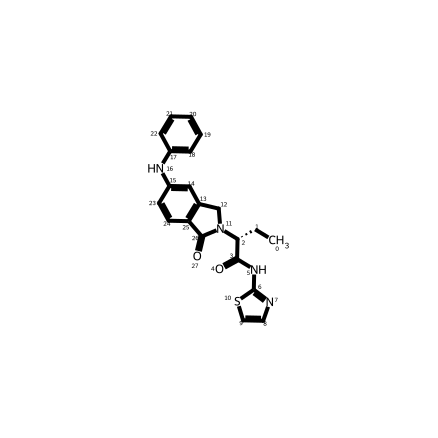 CC[C@H](C(=O)Nc1nccs1)N1Cc2cc(Nc3ccccc3)ccc2C1=O